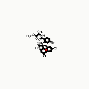 COC(=O)C(C)NC(=O)c1ccc(Br)cc1N[C@@]1(Cc2cccc(Cl)c2)C(=O)Nc2cc(Cl)ccc21